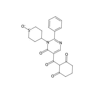 O=C1CCCC(=O)C1C(=O)c1cnc(-c2ccccc2)n(C2CC[S+]([O-])CC2)c1=O